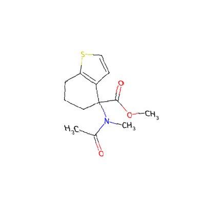 COC(=O)C1(N(C)C(C)=O)CCCc2sccc21